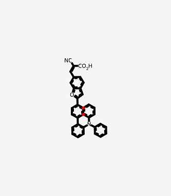 N#C/C(=C/c1ccc2cc(-c3ccc(-c4ccccc4N(c4ccccc4)c4ccccc4)cc3)oc2c1)C(=O)O